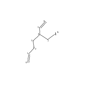 C=CCCC(C=C)CI